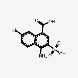 Nc1c(S(=O)(=O)O)cc(C(=O)O)c2cc(Cl)ccc12